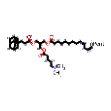 CCCCC/C=C\C/C=C\CCCCCCCC(=O)OCC(COC(=O)CCCCN(C)C)COC(=O)CCC12CC3CC(CC(C3)C1)C2